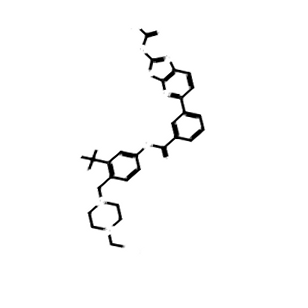 CCN1CCN(Cc2ccc(NC(=O)c3cccc(-c4ccc5nc(NC(C)=O)sc5n4)c3)cc2C(F)(F)F)CC1